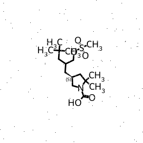 CC(C)(C)CC(COS(C)(=O)=O)C[C@@H]1CN(C(=O)O)C(C)(C)C1